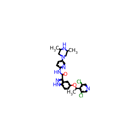 CC1CN(c2ccc(NC(=O)c3n[nH]c4ccc(OC(C)c5c(Cl)cncc5Cl)cc34)nc2)CC(C)N1